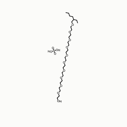 CCCCC(CC)COCCOCCOCCOCCOCCOCCOCCOCCOCCOCCO.O=S(=O)(O)O